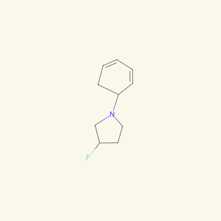 FC1CCN(C2C=CC=CC2)C1